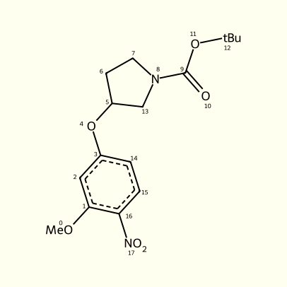 COc1cc(OC2CCN(C(=O)OC(C)(C)C)C2)ccc1[N+](=O)[O-]